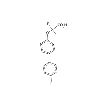 O=C(O)C(F)(F)Oc1ccc(-c2ccc(F)cc2)cc1